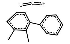 Cc1cccc(-c2ccccc2)c1C.N=C=O